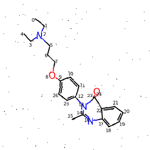 CCN(CC)CCCOc1ccc(-n2c(C)nc3ccccc3c2=O)cc1